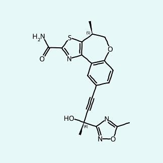 Cc1nc([C@](C)(O)C#Cc2ccc3c(c2)-c2nc(C(N)=O)sc2[C@@H](C)CO3)no1